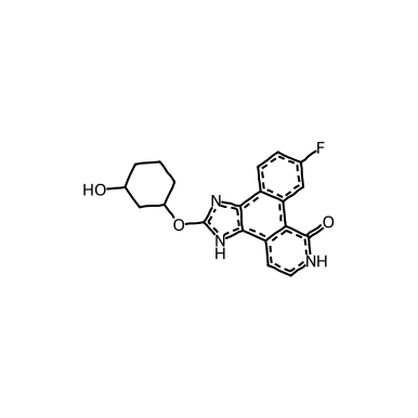 O=c1[nH]ccc2c3[nH]c(OC4CCCC(O)C4)nc3c3ccc(F)cc3c12